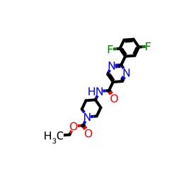 CCOC(=O)N1CCC(NC(=O)c2cnc(-c3cc(F)ccc3F)nc2)CC1